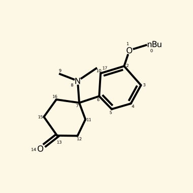 CCCCOc1cccc(C2(N(C)C)CCC(=O)CC2)c1